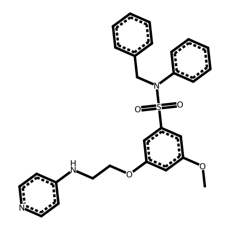 COc1cc(OCCNc2ccncc2)cc(S(=O)(=O)N(Cc2ccccc2)c2ccccc2)c1